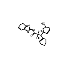 CC(C)(C(=O)Nc1nc2c(s1)CCC=C2)C(C1=CCCCC1)C1C=CCC(O)C1